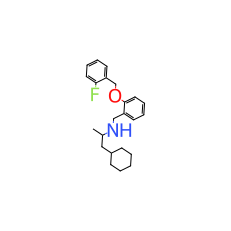 CC(CC1CCCCC1)NCc1ccccc1OCc1ccccc1F